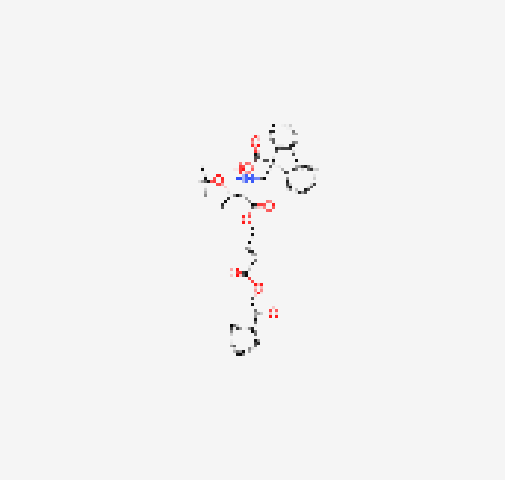 C[C@@H](OC(C)(C)C)[C@H](NCC1(C(=O)O)c2ccccc2-c2ccccc21)C(=O)OC/C=C/C(=O)OCC(=O)c1ccccc1